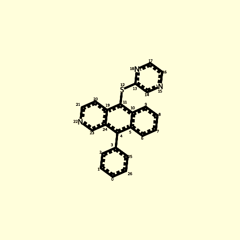 c1ccc(-c2c3ccccc3c(Sc3cnccn3)c3ccncc23)cc1